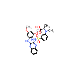 COc1cc(Nc2nc3ccccc3nc2NS(=O)(=O)c2cccc(N(C)[C@H](C)C(=O)O)c2)cc(OC)c1